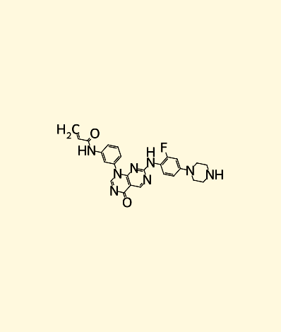 C=CC(=O)Nc1cccc(-n2cnc(=O)c3cnc(Nc4ccc(N5CCNCC5)cc4F)nc32)c1